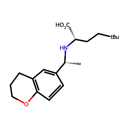 C[C@@H](N[C@@H](CCC(C)(C)C)C(=O)O)c1ccc2c(c1)CCCO2